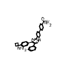 NC(=O)c1ccc(-c2ccc3c(c2)nn2cc(-c4ccccc4)c(-c4ccc(C5(N)CCC5)cc4)nc32)cc1